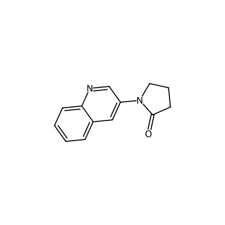 O=C1CCCN1c1cnc2ccccc2c1